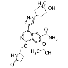 CC(C)Oc1cc2c(OC[C@@H]3CCC(=O)N3)ncc(-c3cnn([C@H]4CC[C@](C)(O)CC4)c3)c2cc1C(N)=O